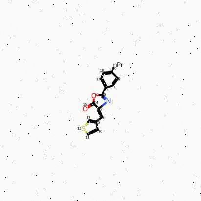 CCCc1ccc(C2=NC(=Cc3ccsc3)C(=O)O2)cc1